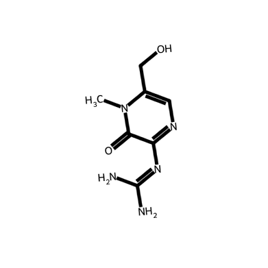 Cn1c(CO)cnc(N=C(N)N)c1=O